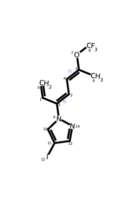 C=C/C(=C\C=C(/C)OC(F)(F)F)n1cc(I)cn1